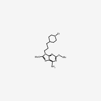 CCCCOc1nc(N)c2nc(OC)n(CCCC3CCN(CC)CC3)c2n1